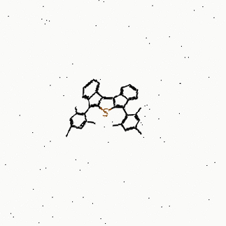 Cc1cc(C)c(C2=c3sc4c(c3-c3ccccc32)-c2ccccc2C=4c2c(C)cc(C)cc2C)c(C)c1